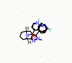 Cn1nc2c(c1-c1cc(F)cc(F)c1)C[C@H]1CCC[C@@H]2N1C(=O)c1ccnc2ncccc12